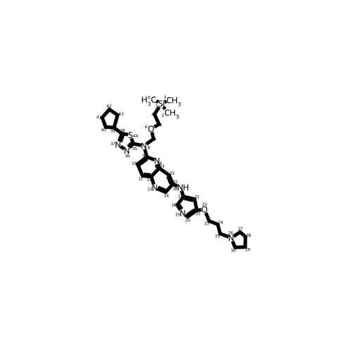 C[Si](C)(C)CCOCN(c1ccc2ncc(Nc3cncc(OCCCN4CCCC4)c3)cc2n1)c1nnc(C2CCCC2)s1